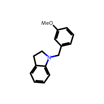 COc1cccc(CN2CCc3ccccc32)c1